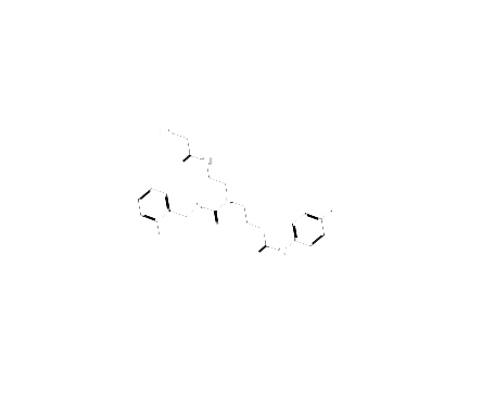 CCc1ccc(NC(=O)OCCN(CCNC(=O)CN)C(=O)NCc2ccccc2Cl)cc1